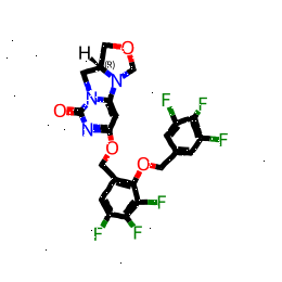 O=c1nc(OCc2cc(F)c(F)c(F)c2OCc2cc(F)c(F)c(F)c2)cc2n1C[C@@H]1COCN21